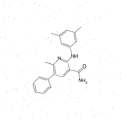 Cc1cc(C)cc(Nc2nc(C)c(-c3ccccc3)cc2C(N)=O)c1